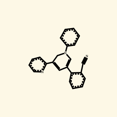 N#Cc1ccccc1C1=CN(c2ccccc2)CC(c2ccccn2)=C1